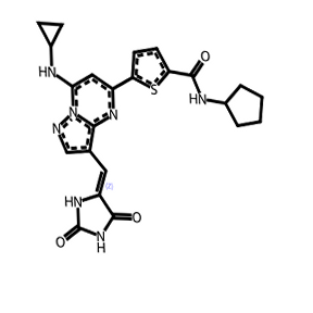 O=C1NC(=O)/C(=C/c2cnn3c(NC4CC4)cc(-c4ccc(C(=O)NC5CCCC5)s4)nc23)N1